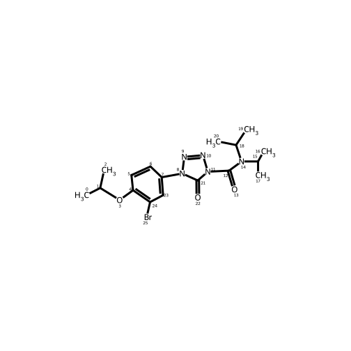 CC(C)Oc1ccc(-n2nnn(C(=O)N(C(C)C)C(C)C)c2=O)cc1Br